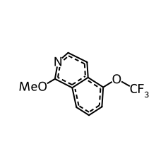 COc1nccc2c(OC(F)(F)F)cccc12